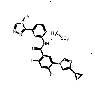 CS(=O)(=O)O.Cc1cc(F)c(C(=O)Nc2cccc(-c3nncn3C(C)C)n2)cc1-n1cnc(C2CC2)c1